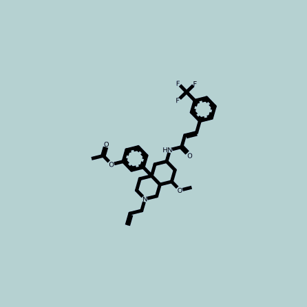 C=CCN1CCC2(c3cccc(OC(C)=O)c3)CC(NC(=O)/C=C/c3cccc(C(F)(F)F)c3)CC(OC)C2C1